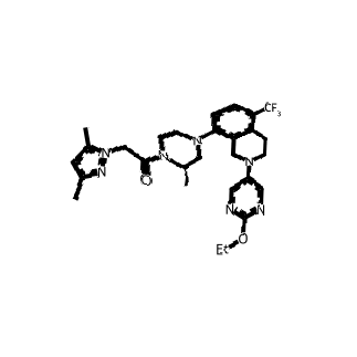 CCOc1ncc(N2CCc3c(C(F)(F)F)ccc(N4CCN(C(=O)Cn5nc(C)cc5C)[C@H](C)C4)c3C2)cn1